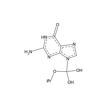 CC(C)OC(O)(O)n1cnc2c(=O)[nH]c(N)nc21